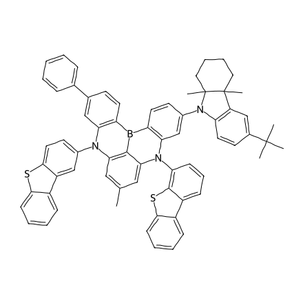 Cc1cc2c3c(c1)N(c1cccc4c1sc1ccccc14)c1cc(N4c5ccc(C(C)(C)C)cc5C5(C)CCCCC45C)ccc1B3c1ccc(-c3ccccc3)cc1N2c1ccc2sc3ccccc3c2c1